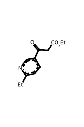 CCOC(=O)CC(=O)c1ccc(CC)nc1